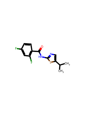 CC(C)c1cnc(NC(=O)c2ccc(F)cc2F)s1